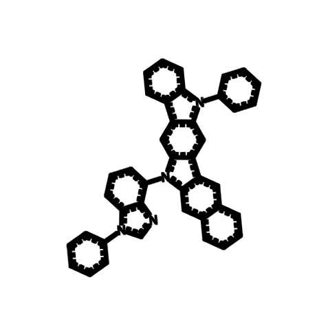 c1ccc(-n2cnc3c(-n4c5cc6ccccc6cc5c5cc6c(cc54)c4ccccc4n6-c4ccccc4)cccc32)cc1